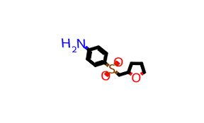 Nc1ccc(S(=O)(=O)CC2CCCO2)cc1